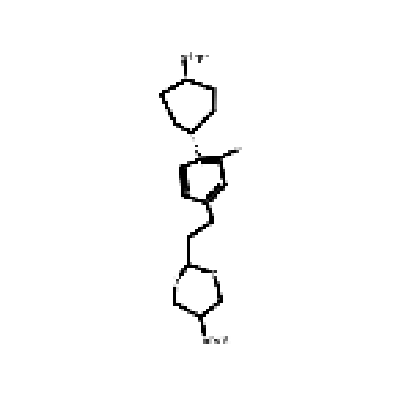 CCCCCCC[C@H]1CC[C@H](c2ccc(CCC3OCC(CCCCC)CO3)cc2F)CC1